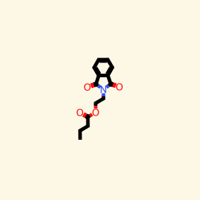 CCCC(=O)OCCN1C(=O)c2ccccc2C1=O